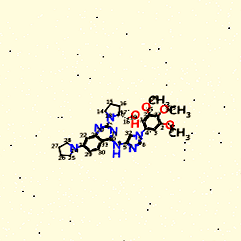 COc1cc(-n2cnc(Nc3nc(N4CCC[C@@H]4CO)nc4cc(N5CCCC5)ccc34)c2)cc(OC)c1OC